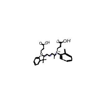 CC(/C=C/C=C1/N(CCC(=O)O)c2ccccc2C1(C)C)=[N+](/CCC(=O)O)c1ccccc1C